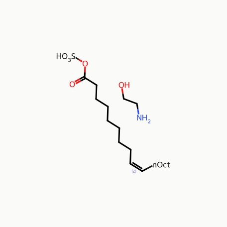 CCCCCCCC/C=C\CCCCCCCC(=O)OS(=O)(=O)O.NCCO